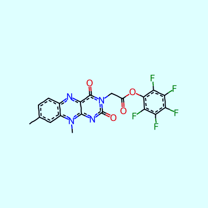 Cc1ccc2nc3c(=O)n(CC(=O)Oc4c(F)c(F)c(F)c(F)c4F)c(=O)nc-3n(C)c2c1